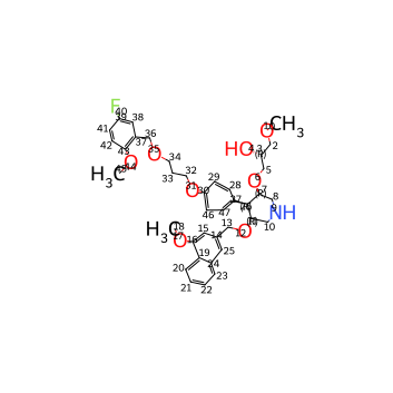 COC[C@@H](O)CO[C@H]1CNC[C@H](OCc2cc(OC)c3ccccc3c2)[C@H]1c1ccc(OCCCOCc2cc(F)ccc2OC)cc1